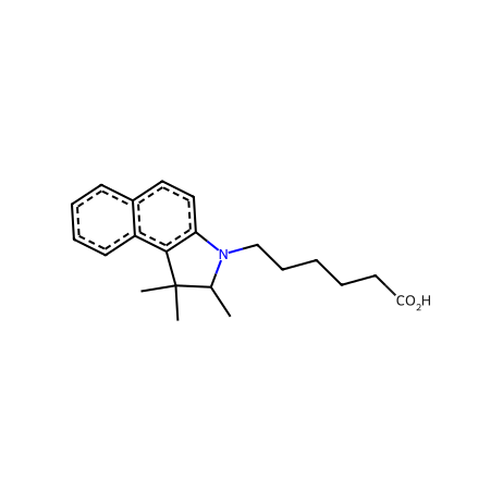 CC1N(CCCCCC(=O)O)c2ccc3ccccc3c2C1(C)C